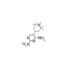 CN1C(C)(C)CC(c2cnc(N)nc2N)CC1(C)C